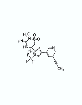 CC#CC1C=C(c2cc(C(F)(F)F)c([C@]3(C)CS(=O)(=O)N(C)C(=N)N3)s2)C=NC1